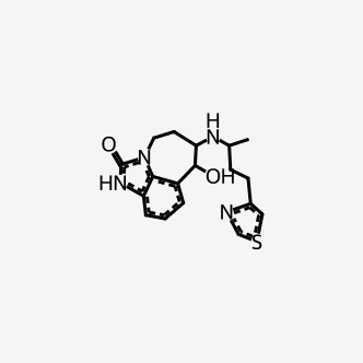 CC(CCc1cscn1)NC1CCn2c(=O)[nH]c3cccc(c32)C1O